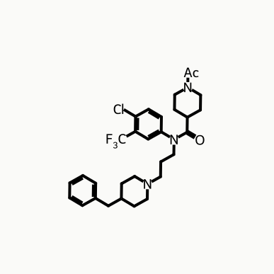 CC(=O)N1CCC(C(=O)N(CCCN2CCC(Cc3ccccc3)CC2)c2ccc(Cl)c(C(F)(F)F)c2)CC1